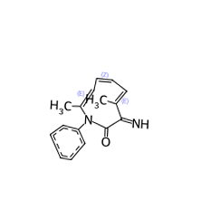 C\C1=C/C=C\C=C(/C)N(c2ccccc2)C(=O)C1=N